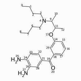 CCCCN(CCCC)C(C)C(C)Oc1cccc(C(=O)c2ccc(N)c(N)c2)c1